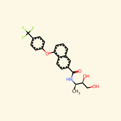 C[C@@H](NC(=O)c1ccc2c(Oc3ccc(C(F)(F)F)cc3)cccc2c1)[C@@H](O)CO